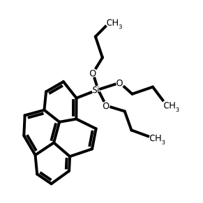 CCCO[Si](OCCC)(OCCC)c1ccc2ccc3cccc4ccc1c2c34